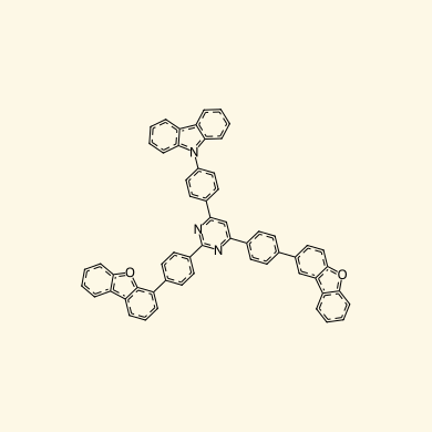 c1ccc2c(c1)oc1ccc(-c3ccc(-c4cc(-c5ccc(-n6c7ccccc7c7ccccc76)cc5)nc(-c5ccc(-c6cccc7c6oc6ccccc67)cc5)n4)cc3)cc12